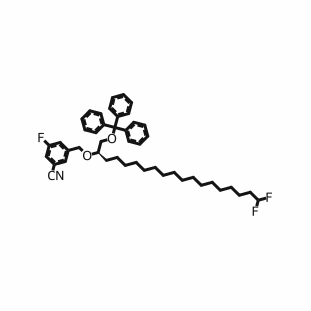 N#Cc1cc(F)cc(CO[C@H](CCCCCCCCCCCCCCCCC(F)F)COC(c2ccccc2)(c2ccccc2)c2ccccc2)c1